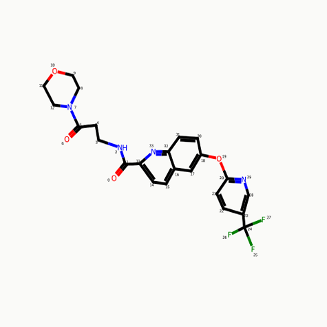 O=C(NCCC(=O)N1CCOCC1)c1ccc2cc(Oc3ccc(C(F)(F)F)cn3)ccc2n1